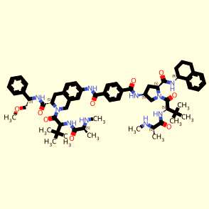 CN[C@@H](C)C(=O)NC(C(=O)N1Cc2cc(NC(=O)c3ccc(C(=O)N[C@H]4C[C@@H](C(=O)N[C@@H]5CCCc6ccccc65)N(C(=O)[C@@H](NC(=O)[C@H](C)NC)C(C)(C)C)C4)cc3)ccc2C[C@H]1C(=O)N[C@H](COC)c1ccccc1)C(C)(C)C